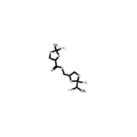 CC(C)C1(C)OCC(COC(=O)C2COC(C)(C)O2)O1